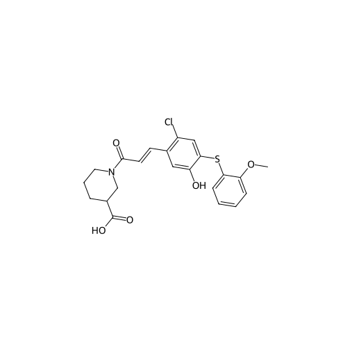 COc1ccccc1Sc1cc(Cl)c(/C=C/C(=O)N2CCCC(C(=O)O)C2)cc1O